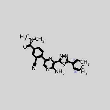 C/C=C\C(=C/C)c1nnc(-c2nc(-c3ccc(C(=O)N(C)C)cc3C#N)cnc2N)s1